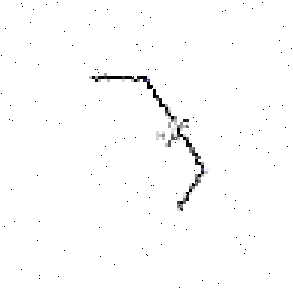 CCCCCCCC/C=C\CCCCCCCCOC(=O)C(N)CCCCCC/C=C\CCCCCCCC